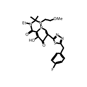 CCN1C(=O)c2c(O)c(=O)c(-c3nnc(Cc4ccc(F)cc4)s3)cn2N(CCOC)C1(C)C